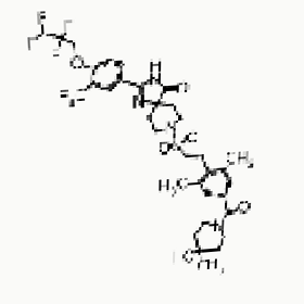 Cc1cc(C(=O)N2CCC(C)(O)CC2)cc(C)c1C=CS(=O)(=O)N1CCC2(CC1)N=C(c1ccc(OCC(F)(F)C(F)F)c(C(F)(F)F)c1)NC2=O